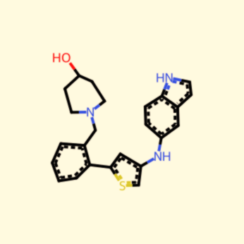 OC1CCN(Cc2ccccc2-c2cc(Nc3ccc4[nH]ccc4c3)cs2)CC1